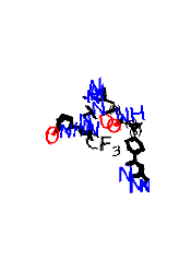 Cn1cc(C[C@@H](NC(=O)[C@H]2C[C@@H]2c2ccc(-c3cnc4nn(C)cc4c3)cc2)C(=O)NC(C)(C)Cn2nc(C(F)(F)F)cc2-c2cccc(=O)[nH]2)cn1